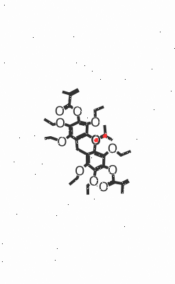 C=C(C)C(=O)Oc1c(OCC)c(OCC)c(Cc2c(OCC)c(OCC)c(OC(=O)C(=C)C)c(OCC)c2OCC)c(OCC)c1OCC